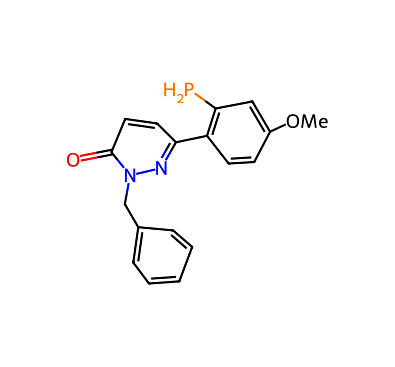 COc1ccc(-c2ccc(=O)n(Cc3ccccc3)n2)c(P)c1